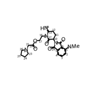 CNc1cccc2c1C(=O)N(C1CCC(=N)N(CCOC(=O)CN3CCCC3)C1=O)C2=O